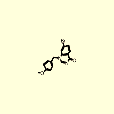 COc1ccc(Cn2cnc(=O)c3ccc(Br)cc32)cc1